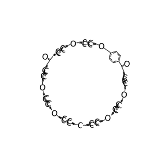 O=C1c2ccc(cc2)Oc2ccc(cc2)Oc2ccc(cc2)Cc2ccc(cc2)Oc2ccc(cc2)Oc2ccc(cc2)C(=O)c2ccc(cc2)Oc2ccc(cc2)Oc2ccc1cc2